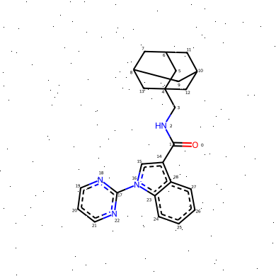 O=C(NCC12CC3CC(CC(C3)C1)C2)c1cn(-c2ncccn2)c2ccccc12